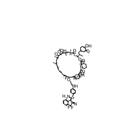 CO[C@@H]1C[C@@H](CC(C)[C@@H]2CC(=O)[C@H](C)/C=C(\C)[C@@H](O)[C@@H](OC)C(=O)[C@H](C)C[C@H](C)/C=C/C=C/C=C(/C)[C@@H](OCCNc3ccc(S/C(N)=C(\C#N)c4ccccc4C(F)(F)F)cc3)C[C@@H]3CC[C@@H](C)[C@@](O)(O3)C(=O)C(=O)N3CCCC[C@H]3C(=O)O2)CC[C@H]1O